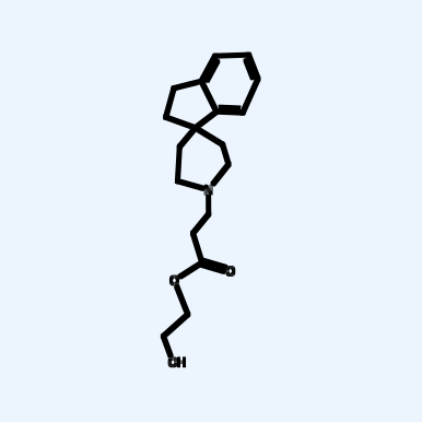 O=C(CCN1CCC2(CCc3ccccc32)CC1)OCCO